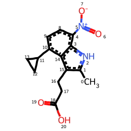 Cc1[nH]c2c([N+](=O)[O-])ccc(C3CC3)c2c1CCC(=O)O